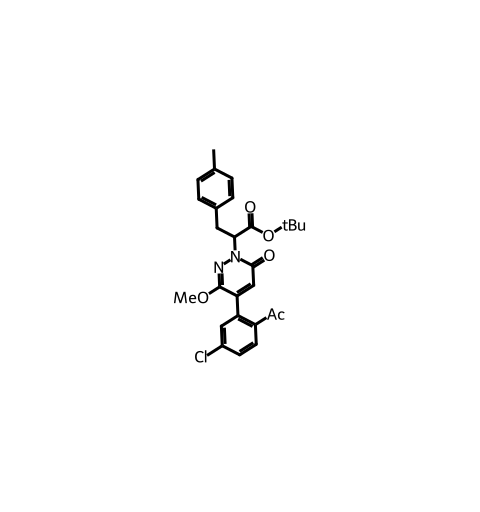 COc1nn(C(Cc2ccc(C)cc2)C(=O)OC(C)(C)C)c(=O)cc1-c1cc(Cl)ccc1C(C)=O